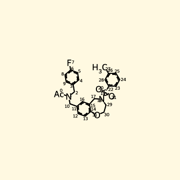 CC(=O)N(Cc1ccc(F)cc1)Cc1ccc2c(c1)CN(S(=O)(=O)c1cccc(C)c1)CCO2